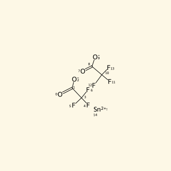 O=C([O-])C(F)(F)F.O=C([O-])C(F)(F)F.[Sn+2]